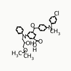 CC(C)OCC(O)CN(c1ccccc1)c1cc(C(=O)O)cc(C(=O)c2ccc(N(C)c3ccc(Cl)cc3)cc2)c1